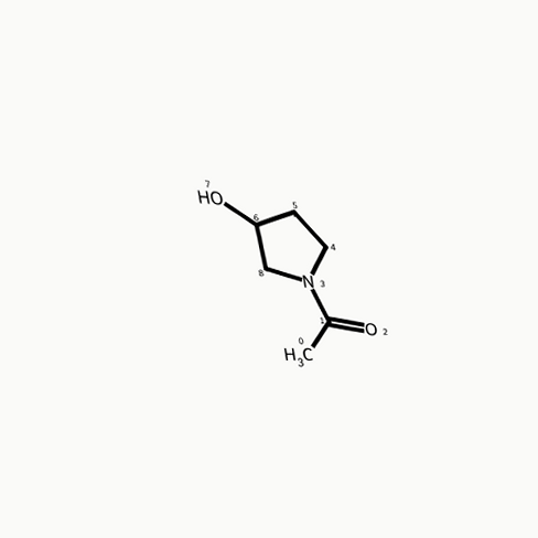 CC(=O)N1C[CH]C(O)C1